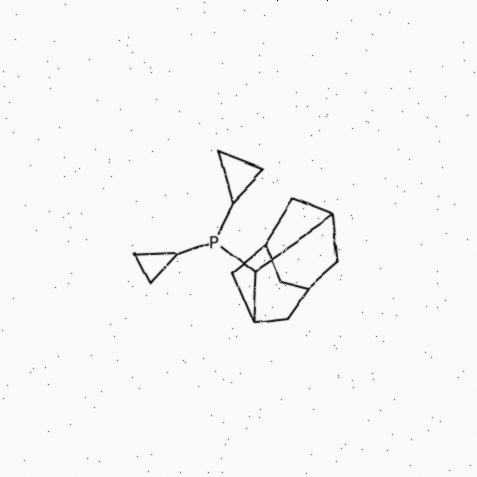 C1C2CC3CC1CC(C2)C3P(C1CC1)C1CC1